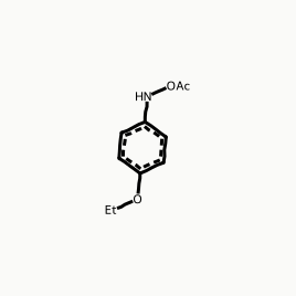 CCOc1ccc(NOC(C)=O)cc1